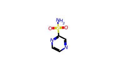 NS(=O)(=O)c1cnccn1